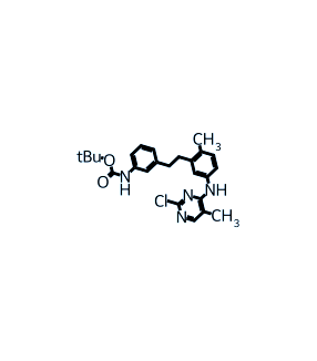 Cc1ccc(Nc2nc(Cl)ncc2C)cc1CCc1cccc(NC(=O)OC(C)(C)C)c1